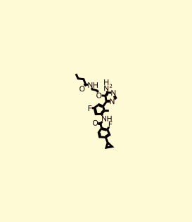 CCCC(=O)NCCOc1c(N)ncnc1-c1cc(F)cc(NC(=O)c2ccc(C3CC3)cc2F)c1C